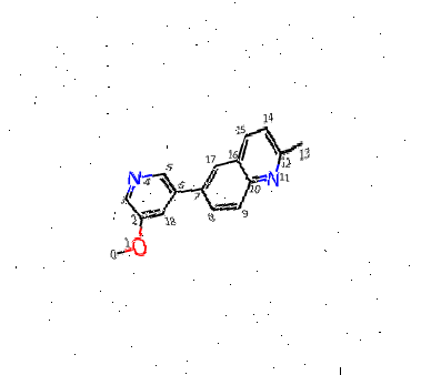 COc1cncc(-c2ccc3nc(C)ccc3c2)c1